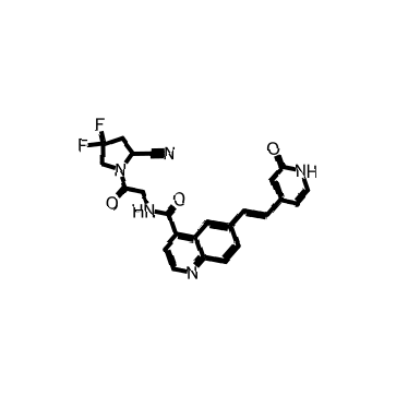 N#CC1CC(F)(F)CN1C(=O)CNC(=O)c1ccnc2ccc(C=Cc3cc[nH]c(=O)c3)cc12